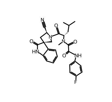 CC(C)C[C@@H](C(=O)N1C[C@]2(C[C@H]1C#N)C(=O)Nc1ccccc12)N(C)C(=O)C(=O)Nc1ccc(F)cc1